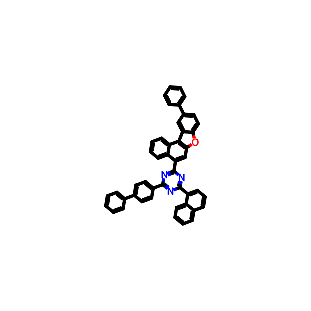 c1ccc(-c2ccc(-c3nc(-c4cccc5ccccc45)nc(-c4cc5oc6ccc(-c7ccccc7)cc6c5c5ccccc45)n3)cc2)cc1